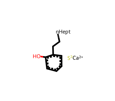 CCCCCCCCCc1ccccc1O.[Ca+2].[S-2]